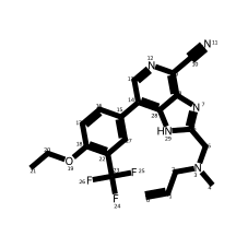 C=CCN(C)Cc1nc2c(C#N)ncc(-c3ccc(OCC)c(C(F)(F)F)c3)c2[nH]1